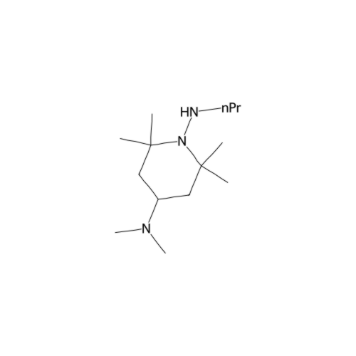 CCCNN1C(C)(C)CC(N(C)C)CC1(C)C